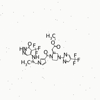 CCOC(=O)C[C@H]1CN(c2ncc(C(F)(F)F)cn2)CCN1C(=O)c1ccn(C[C@H](C)Nc2cn[nH]c(=O)c2C(F)(F)F)c1